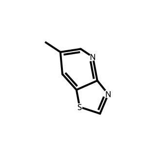 Cc1cnc2ncsc2c1